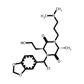 CCC(c1ccc2c(c1)OCO2)N1C(=O)[C@@H](C)N(CCCN(C)C)C(=O)[C@@H]1CCC#N